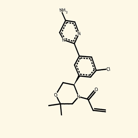 C=CC(=O)N1CC(C)(C)OC[C@H]1c1cc(Cl)cc(-c2ncc(N)cn2)c1